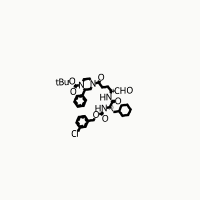 CC(C)(C)OC(=O)N1CCN(C(=O)CC[C@@H](C=O)NC(=O)[C@H](CC2CCCCC2)NC(=O)OCc2cccc(Cl)c2)CC1c1ccccc1